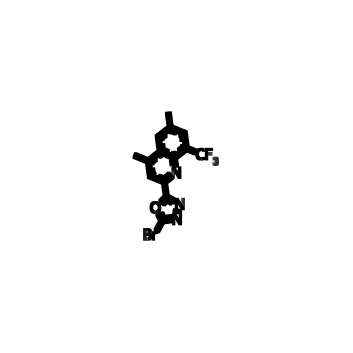 Cc1cc(C(F)(F)F)c2nc(-c3nnc(Br)o3)cc(C)c2c1